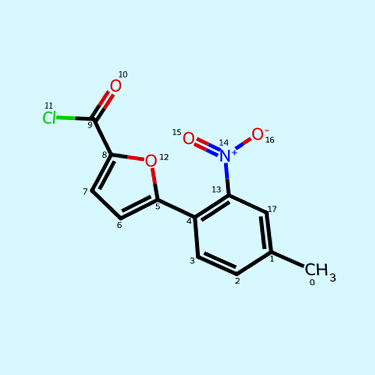 Cc1ccc(-c2ccc(C(=O)Cl)o2)c([N+](=O)[O-])c1